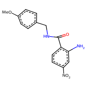 COc1ccc(CNC(=O)c2ccc([N+](=O)[O-])cc2N)cc1